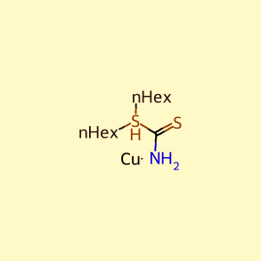 CCCCCC[SH](CCCCCC)C(N)=S.[Cu]